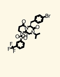 CC(C)N1C[C@H]2N(C(=O)CCN2S(=O)(=O)c2cccc(C(F)(F)F)c2)[C@@H](Cc2ccc(Br)cc2)C1=O